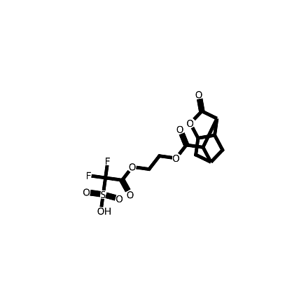 O=C(OCCOC(=O)C(F)(F)S(=O)(=O)O)C1C2CC3OC(=O)C1C3C2